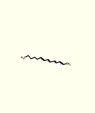 [CH2]/C=C/C=C/C=C/C=C/CCCCC